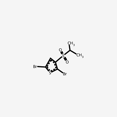 CC(C)S(=O)(=O)c1cc(Br)sc1Br